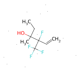 C=CC(F)(C(F)(F)F)C(C)(O)CC